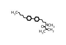 C=C(C)C(=O)N(C)CCCc1ccc(-c2ccc(CCCCC)cc2)cc1